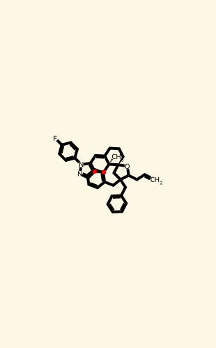 C=CCC1O[C@]2(CCCC3=Cc4c(cnn4-c4ccc(F)cc4)C[C@@]32C)CC1(Cc1ccccc1)Cc1ccccc1